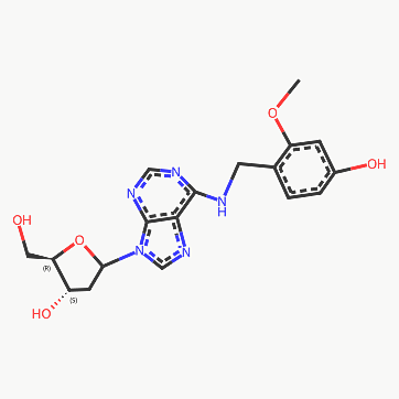 COc1cc(O)ccc1CNc1ncnc2c1ncn2C1C[C@H](O)[C@@H](CO)O1